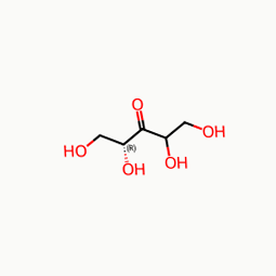 O=C(C(O)CO)[C@H](O)CO